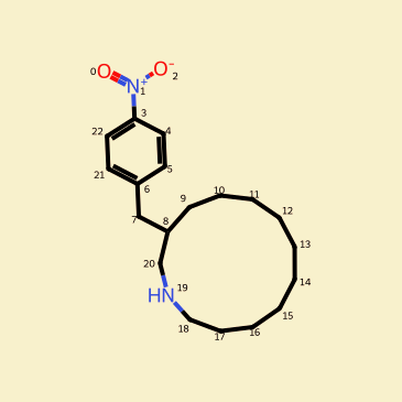 O=[N+]([O-])c1ccc(CC2CCCCCCCCCCNC2)cc1